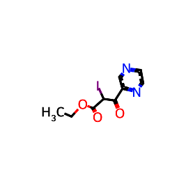 CCOC(=O)C(I)C(=O)c1cnccn1